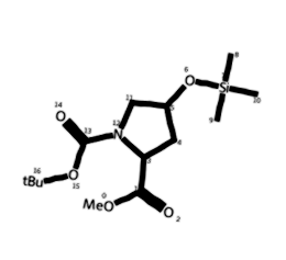 COC(=O)C1CC(O[Si](C)(C)C)CN1C(=O)OC(C)(C)C